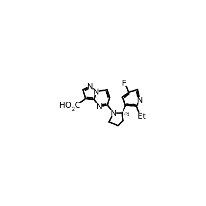 CCc1ncc(F)cc1[C@H]1CCCN1c1ccn2ncc(C(=O)O)c2n1